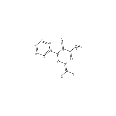 COC(=O)C(=O)C(CC=C(C)C)c1ccccc1